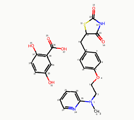 CN(CCOc1ccc(CC2SC(=O)NC2=O)cc1)c1ccccn1.O=C(O)c1cc(O)ccc1O